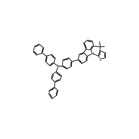 CC1(C)c2ccsc2-n2c3ccc(-c4ccc(N(c5ccc(-c6ccccc6)cc5)c5ccc(-c6ccccc6)cc5)cc4)cc3c3cccc1c32